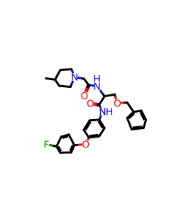 CC1CCN(CC(=O)NC(COCc2ccccc2)C(=O)Nc2ccc(Oc3ccc(F)cc3)cc2)CC1